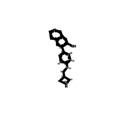 Oc1cc2cnccc2cc1-c1cnc(OCC2CNC2)nn1